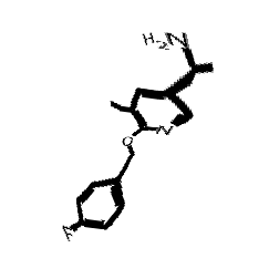 Cc1cc(C(C)N)cnc1OCc1ccc(F)cc1